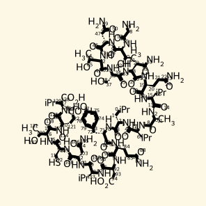 CC(C)C[C@H](NC(=O)[C@@H](NC(=O)[C@H](C)NC(=O)[C@@H](NC(=O)[C@H](CCC(N)=O)NC(=O)[C@H](CC(N)=O)NC(=O)[C@H](CO)NC(=O)[C@@H](NC(=O)[C@H](CC(N)=O)NC(=O)[C@@H](NC(=O)CN)[C@@H](C)O)[C@@H](C)O)C(C)C)C(C)C)C(=O)N[C@@H](Cc1ccc(O)cc1)C(=O)N[C@@H](CCC(N)=O)C(=O)N[C@@H](CC(=O)O)C(=O)N[C@H](C(=O)N[C@@H](CC(N)=O)C(=O)N[C@@H](CS)C(=O)N[C@H](C(=O)N[C@@H](CCC(=O)O)C(=O)N[C@H](C(=O)O)C(C)C)[C@@H](C)O)C(C)C